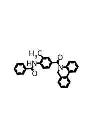 Cc1cc(C(=O)N2Cc3ccccc3-c3ccccc32)ccc1NC(=O)c1ccccc1